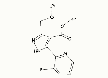 CC(C)OCc1n[nH]c(-c2ncccc2F)c1C(=O)OC(C)C